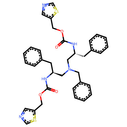 O=C(N[C@H](Cc1ccccc1)CN(Cc1ccccc1)C[C@H](Cc1ccccc1)NC(=O)OCc1cncs1)OCc1cncs1